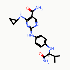 CC(C)[C@H](Nc1ccc(Nc2ncc(C(N)=O)c(NC3CC3)n2)cc1)C(N)=O